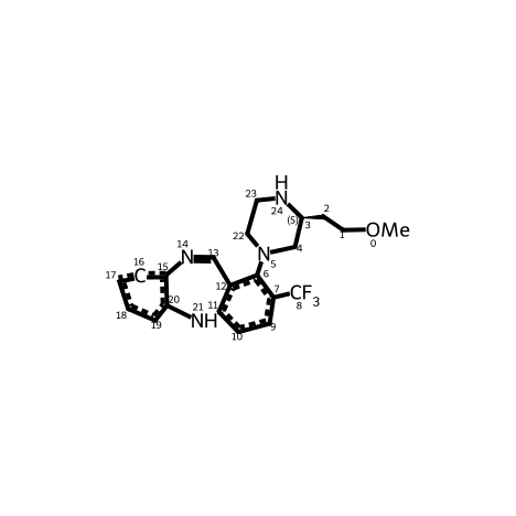 COCC[C@H]1CN(c2c(C(F)(F)F)ccc3c2C=Nc2ccccc2N3)CCN1